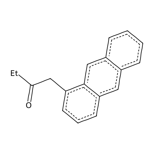 CCC(=O)Cc1cccc2cc3ccccc3cc12